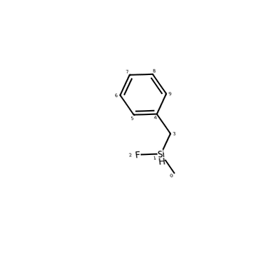 C[SiH](F)Cc1ccccc1